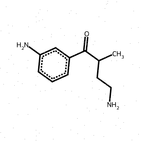 CC(CCN)C(=O)c1cccc(N)c1